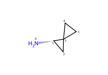 N[C@H]1CC12CC2